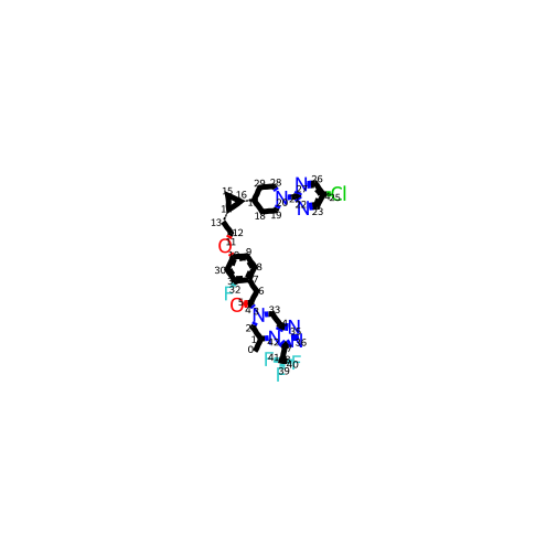 CC1CN(C(=O)Cc2ccc(OCC[C@@H]3C[C@@H]3C3CCN(c4ncc(Cl)cn4)CC3)cc2F)Cc2nnc(C(F)(F)F)n21